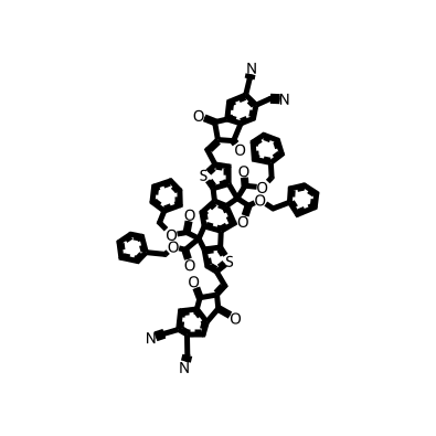 N#Cc1cc2c(cc1C#N)C(=O)C(=Cc1cc3c(s1)-c1cc4c(cc1C3(C(=O)OCc1ccccc1)C(=O)OCc1ccccc1)-c1sc(C=C3C(=O)c5cc(C#N)c(C#N)cc5C3=O)cc1C4(C(=O)OCc1ccccc1)C(=O)OCc1ccccc1)C2=O